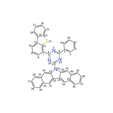 c1ccc(-c2nc(-c3cccc4c3sc3ccccc34)nc(-n3c4cc5ccccc5cc4c4cc5ccccc5cc43)n2)cc1